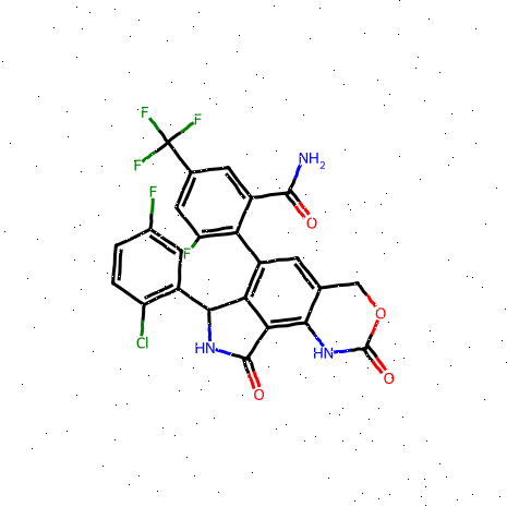 NC(=O)c1cc(C(F)(F)F)cc(F)c1-c1cc2c(c3c1C(c1cc(F)ccc1Cl)NC3=O)NC(=O)OC2